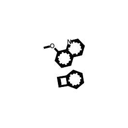 C1=Cc2ccccc21.COc1cccc2cccnc12